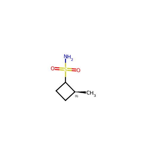 C[C@H]1CCC1S(N)(=O)=O